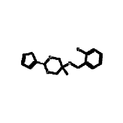 C[C@]1(OCc2ccccc2F)CO[C@@H](c2cccs2)OC1